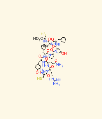 CCC[C@H](NC(=O)[C@H](Cc1ccccc1)NC(=O)[C@@H]1C[C@@H](O)CN1C(=O)[C@@H]1CCCN1C(=O)[C@H](Cc1ccccc1)NC(=O)[C@H](Cc1ccc(O)cc1)NC(=O)[C@H](CCC(N)=O)NC(=O)[C@H](CCCNC(=N)N)NC(=O)[C@@H](N)CS)C(=O)N[C@@H](CS)C(=O)O